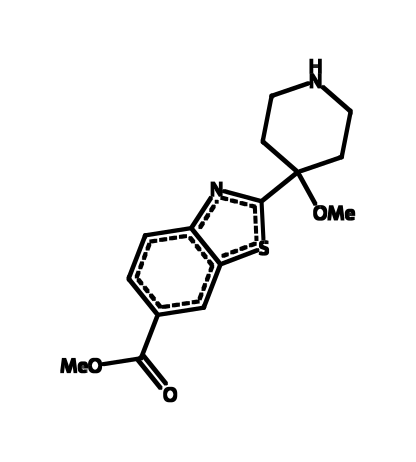 COC(=O)c1ccc2nc(C3(OC)CCNCC3)sc2c1